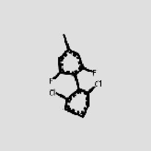 Cc1cc(F)c(-c2c(Cl)[c]ccc2Cl)c(F)c1